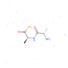 C[C@H](N)C(=O)N[C@@H](C)C(=O)P